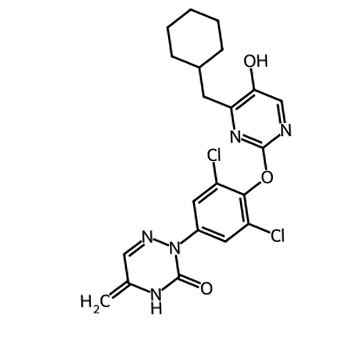 C=C1C=NN(c2cc(Cl)c(Oc3ncc(O)c(CC4CCCCC4)n3)c(Cl)c2)C(=O)N1